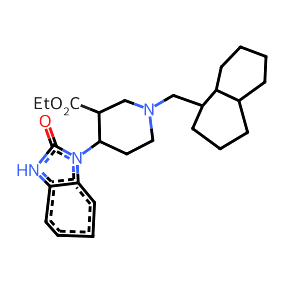 CCOC(=O)C1CN(CC2CCCC3CCCCC32)CCC1n1c(=O)[nH]c2ccccc21